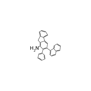 Nc1c2c(cc(-c3cccc4ccccc34)c1-c1ccccc1)-c1ccccc1C2